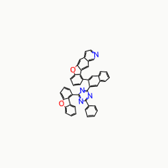 c1ccc(-c2nc(-c3cc4ccccc4cc3-c3cccc4oc5cc6ccncc6cc5c34)nc(-c3cccc4oc5ccccc5c34)n2)cc1